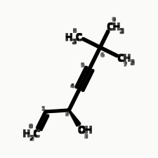 C=C[C@H](O)C#CC(C)(C)C